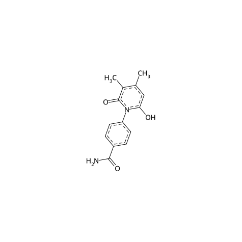 Cc1cc(O)n(-c2ccc(C(N)=O)cc2)c(=O)c1C